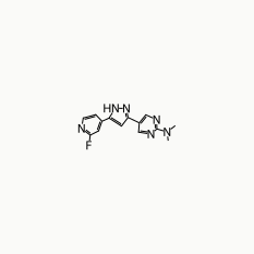 CN(C)c1ncc(-c2cc(-c3ccnc(F)c3)[nH]n2)cn1